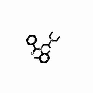 CCN(CC)C(C)CN(C(=O)c1ccccc1)c1c(C)cccc1C